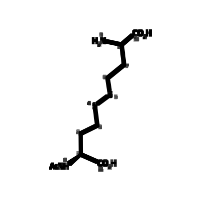 CC(=O)N[C@@H](CCSSCCC(N)C(=O)O)C(=O)O